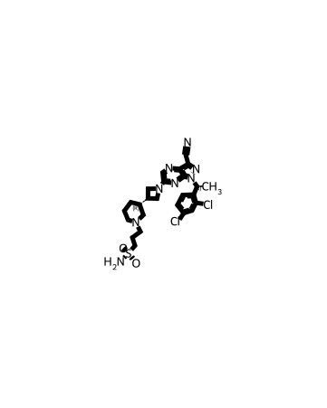 C[C@H](c1ccc(Cl)cc1Cl)n1nc(C#N)c2ncc(N3CC([C@H]4CCCN(CCCS(N)(=O)=O)C4)C3)nc21